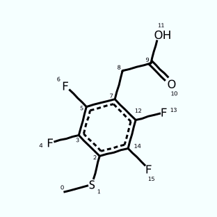 CSc1c(F)c(F)c(CC(=O)O)c(F)c1F